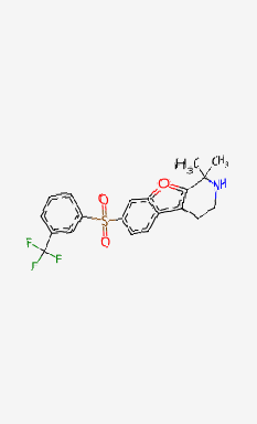 CC1(C)NCCc2c1oc1cc(S(=O)(=O)c3cccc(C(F)(F)F)c3)ccc21